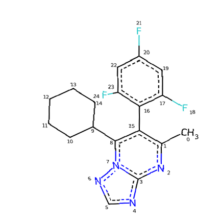 Cc1nc2ncnn2c(C2CCCCC2)c1-c1c(F)cc(F)cc1F